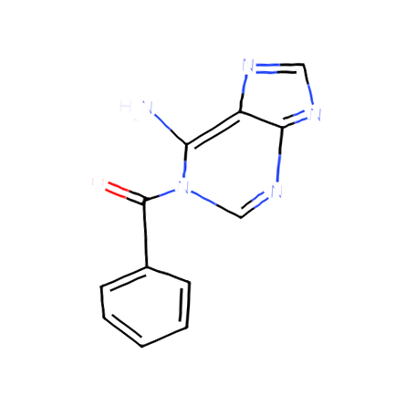 Nc1c2ncnc-2ncn1C(=O)c1ccccc1